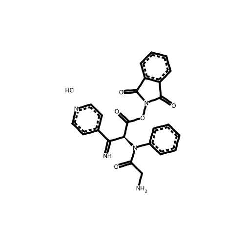 Cl.N=C(c1ccncc1)[C@@H](C(=O)ON1C(=O)c2ccccc2C1=O)N(C(=O)CN)c1ccccc1